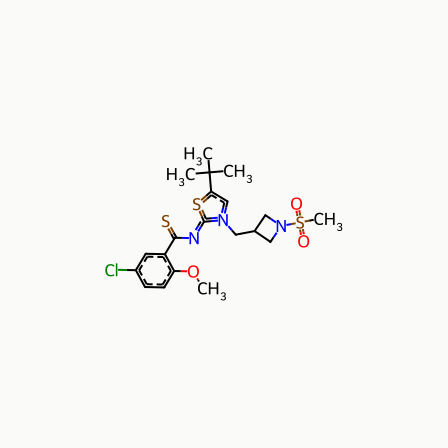 COc1ccc(Cl)cc1C(=S)/N=c1\sc(C(C)(C)C)cn1CC1CN(S(C)(=O)=O)C1